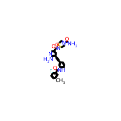 Cc1ccc(F)c(C(=O)Nc2cccc(C#Cc3cc(C(=O)N=S4(=O)CCN(C(N)=O)CC4)cnc3N)c2)c1